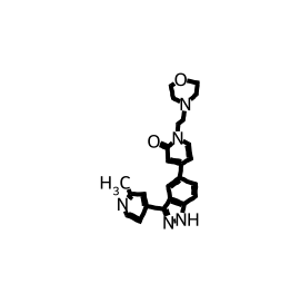 Cc1cc(-c2n[nH]c3ccc(-c4ccn(CCN5CCOCC5)c(=O)c4)cc23)ccn1